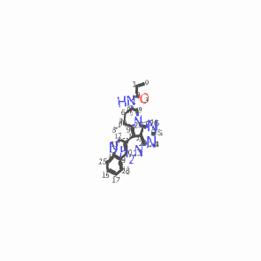 C=CC(=O)N[C@H]1C[C@@H](C)c2c(-c3cnc4ccccc4c3)c3c(N)ncnc3n2C1